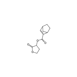 O=C(OC1CCOC1=O)C1=CC2CCC1C2